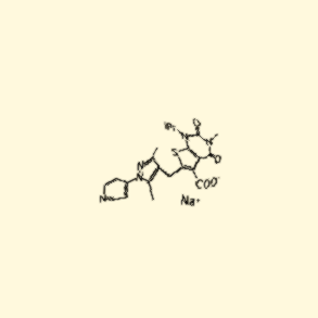 Cc1nn(-c2ccncc2)c(C)c1Cc1sc2c(c1C(=O)[O-])c(=O)n(C)c(=O)n2C(C)C.[Na+]